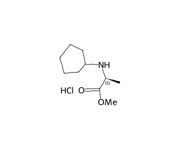 COC(=O)[C@H](C)NC1CCCCC1.Cl